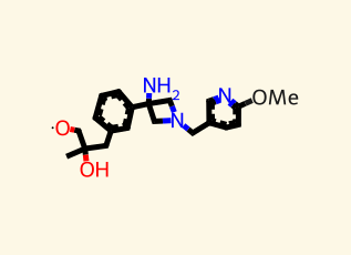 COc1ccc(CN2CC(N)(c3cccc(CC(C)(O)C[O])c3)C2)cn1